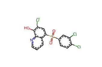 O=S(=O)(c1ccc(Cl)c(Cl)c1)c1cc(Cl)c(O)c2ncccc12